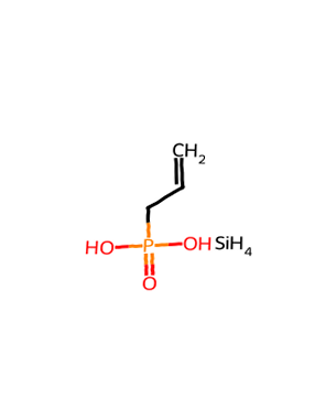 C=CCP(=O)(O)O.[SiH4]